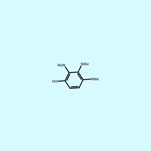 CNc1ccc(O)c(NC)c1NC